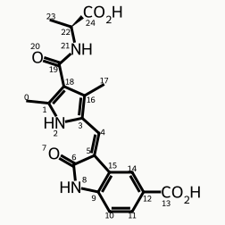 Cc1[nH]c(/C=C2\C(=O)Nc3ccc(C(=O)O)cc32)c(C)c1C(=O)N[C@@H](C)C(=O)O